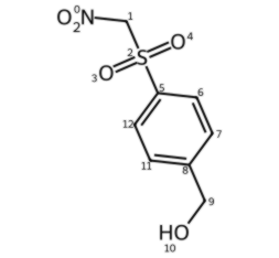 O=[N+]([O-])CS(=O)(=O)c1ccc(CO)cc1